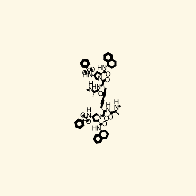 CN[C@@H](C)C(=O)N[C@@H](CC#CC#CC[C@H](NC(=O)[C@H](C)NC)C(=O)N1C[C@@H](NS(=O)(=O)c2ccccc2)C[C@H]1C(=O)N[C@@H]1CCCc2ccccc21)C(=O)N1C[C@@H](NS(=O)(=O)c2ccccc2)C[C@H]1C(=O)NC1CCCc2ccccc21